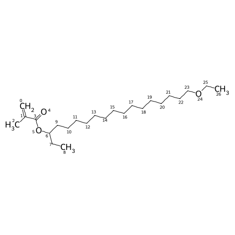 C=C(C)C(=O)OC(CC)CCCCCCCCCCCCCCCOCC